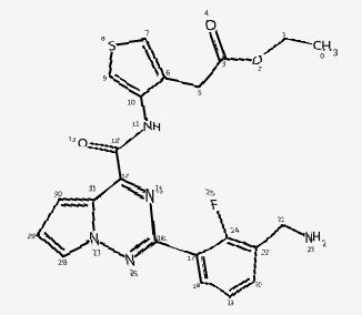 CCOC(=O)Cc1cscc1NC(=O)c1nc(-c2cccc(CN)c2F)nn2cccc12